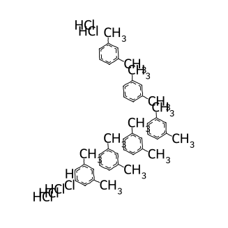 Cc1cccc(C)c1.Cc1cccc(C)c1.Cc1cccc(C)c1.Cc1cccc(C)c1.Cc1cccc(C)c1.Cc1cccc(C)c1.Cl.Cl.Cl.Cl.Cl.Cl